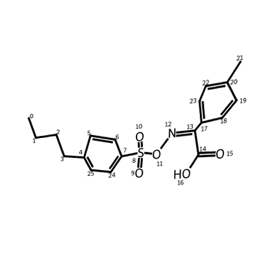 CCCCc1ccc(S(=O)(=O)O/N=C(\C(=O)O)c2ccc(C)cc2)cc1